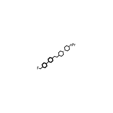 CCC[C@H]1CC[C@H](C2CCC(CCc3ccc(-c4ccc(CF)cc4)cc3)CC2)CC1